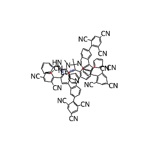 CC/C=C(/c1cc(-c2cccc(C#N)c2)ccc1-n1c2ccc(-c3c(C#N)cc(C#N)cc3C#N)cc2c2cc(-c3c(C#N)cc(C#N)cc3C#N)ccc21)C(C)(N(C)/C(=N\C(=N)c1ccccc1)c1ccccc1)n1c2ccc(-c3c(C#N)cc(C#N)cc3C#N)cc2c2cc(-c3c(C#N)cc(C#N)cc3C#N)ccc21